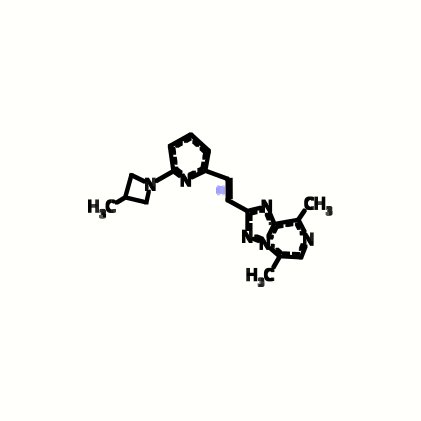 Cc1ncc(C)n2nc(/C=C/c3cccc(N4CC(C)C4)n3)nc12